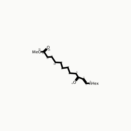 CCCCCCC=CC(=O)CCCCCCCCC(=O)OC